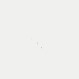 [Cl][Ti]([Cl])[Cl].[N-]=[N+]=N